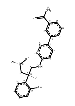 C[C@H](F)C[C@@](C)(CNc1ccc(-c2cccc(C(N)=O)c2)nn1)c1ncccc1F